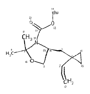 C=CC1(C[C@H]2COC(C)(C)N2C(=O)OC(C)(C)C)CC1